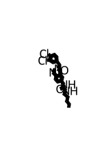 CCCCCNC(=O)Nc1ccc2ncn(Cc3ccc(Cl)c(Cl)c3)c(=O)c2c1